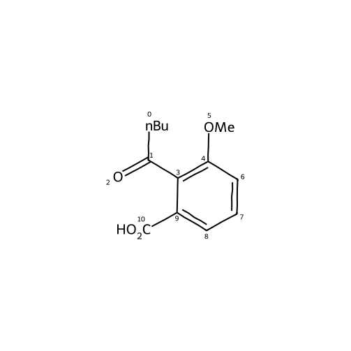 CCCCC(=O)c1c(OC)cccc1C(=O)O